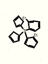 CCc1cccc[c]1[Ti]([C]1=CC=CC1)([C]1=CC=CC1)[c]1ccccc1CC